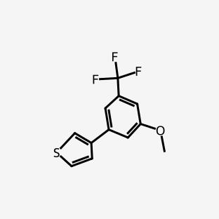 COc1cc(-c2ccsc2)cc(C(F)(F)F)c1